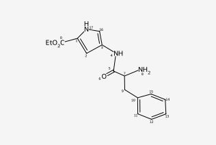 CCOC(=O)c1cc(NC(=O)C(N)Cc2ccccc2)c[nH]1